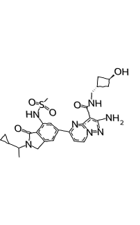 CC(C1CC1)N1Cc2cc(-c3ccn4nc(N)c(C(=O)NC[C@H]5C[C@H](O)C5)c4n3)cc(NS(C)(=O)=O)c2C1=O